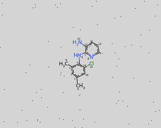 Cc1cc(C)c(Nc2ncccc2N)c(Cl)c1